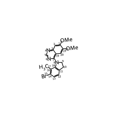 COc1cc2ncnc(N3CCc4ccc(Br)c(C)c43)c2cc1OC